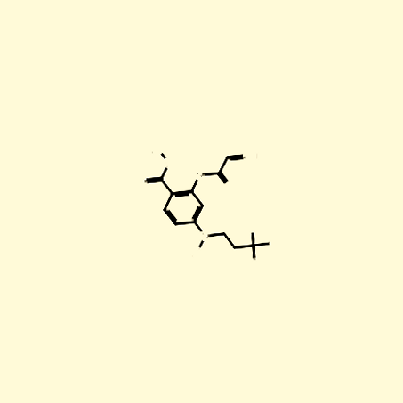 C=CC(=O)Nc1cc(N(C)CCC(F)(F)F)ccc1C(=O)OC